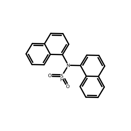 O=[SH](=O)N(c1cccc2ccccc12)c1cccc2ccccc12